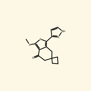 CSc1sc(-c2cc[nH]n2)c2c1C(=O)CC1(CCC1)C2